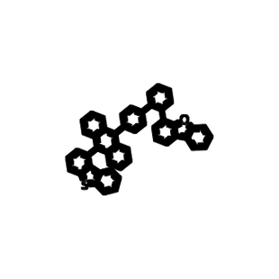 c1ccc(-c2cccc3c2oc2ccccc23)c(-c2ccc(-c3c4ccccc4c(-c4cccc5sc6ccccc6c45)c4ccccc34)cc2)c1